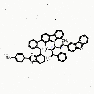 C=C(/C(C)=C(\N=C(/C)c1ccc2oc3ccccc3c2c1)n1c2ccccc2c2ccc(-c3ccccc3CC3=c4oc(C5C=CC(C(C)(C)C)=CC5)nc4=CCC3)c(I)c21)c1ccccc1